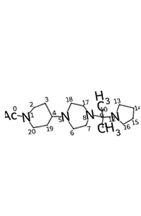 CC(=O)N1CCC(N2CCN(C(C)(C)N3CCCC3)CC2)CC1